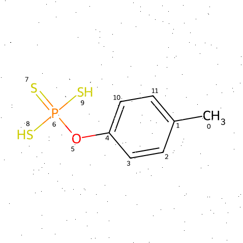 Cc1ccc(OP(=S)(S)S)cc1